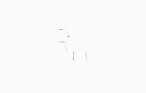 Cc1ccc2c(c1)SCc1ccccc1C2C=O